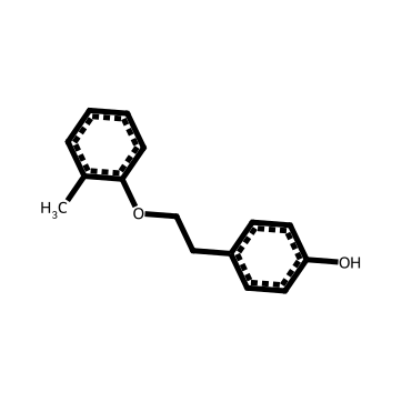 Cc1ccccc1OCCc1ccc(O)cc1